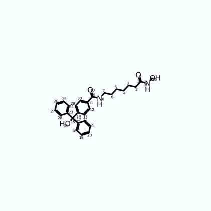 O=C(CCCCCCNC(=O)c1ccc(C(O)(c2ccccc2)c2ccccc2)cc1)NO